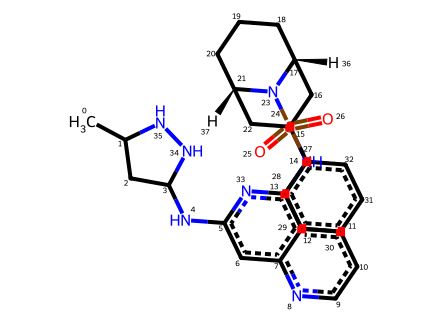 CC1CC(Nc2cc3ncccc3c(NC3C[C@H]4CCC[C@@H](C3)N4S(=O)(=O)c3ccccc3)n2)NN1